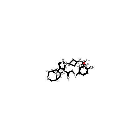 O=C(COc1ccc(Cl)c(F)c1)NC1CC2COCC(C1)N(c1cnn(C3CC(OC(F)(F)F)C3)c1)C2